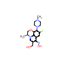 C[C@H]1COc2c(N3CCN(C)CC3)c(F)cc3/c(=N/O)c(CO)cn1c23